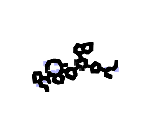 C=C/C=c1/cccc/c1=C(C)\C1=c2/cccc/c2=C(\c2cccc(-c3nc(-c4ccc(/C(C=C)=C/C=C\C)cc4)cc(-c4cccc5ccccc45)n3)c2)C(C)/C=C\C=C/C1